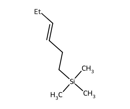 CCC=CCC[Si](C)(C)C